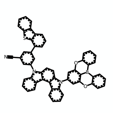 N#Cc1cc(-c2cccc3c2sc2ccccc23)cc(-n2c3ccccc3c3c4c5ccccc5n(-c5cc6c7c(c5)Oc5ccccc5B7c5ccccc5O6)c4ccc32)c1